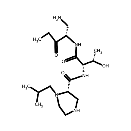 CCC(=O)[C@H](CN)NC(=O)[C@@H](NC(=O)[C@@H]1CNCCN1CC(C)C)[C@H](C)O